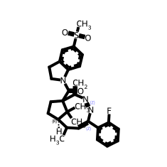 C=C1/N=N\C(c2ccccc2F)=C/C(C)[C@H]2CCC1(C(=O)N1CCc3cc(S(C)(=O)=O)ccc31)C2(C)C